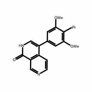 COc1cc(-c2c[nH]c(=O)c3cnccc23)cc(OC)c1C(C)C